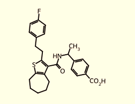 CC(NC(=O)c1c(CCc2ccc(F)cc2)sc2c1CCCCC2)c1ccc(C(=O)O)cc1